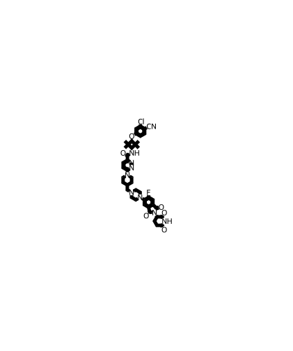 CC1(C)[C@H](NC(=O)c2ccc(N3CCC(CN4CCN(c5cc6c(cc5F)C(=O)N(C5CCC(=O)NC5=O)C6=O)CC4)CC3)nn2)C(C)(C)[C@H]1Oc1ccc(C#N)c(Cl)c1